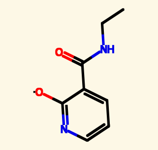 CCNC(=O)c1cccnc1[O]